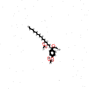 CCCCCCCCCCCCCC(CC[C@]1(c2ccc(OC(C)=O)cc2)OC1C)OC(C)=O